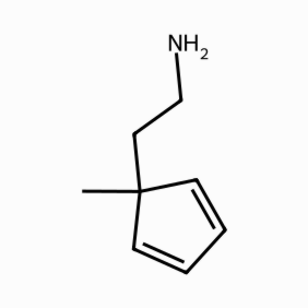 CC1(CCN)C=CC=C1